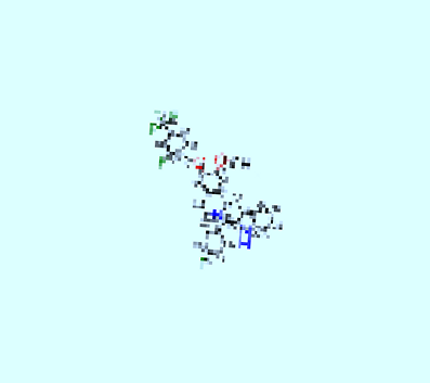 COc1cc2c(cc1OCc1ccc(C(F)(F)F)cc1F)CCN1C2Cc2c([nH]c3ccccc23)C1c1ccc(F)cc1